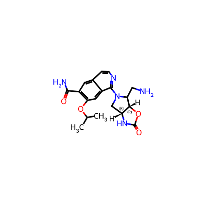 CC(C)Oc1cc2c(N3C[C@H]4NC(=O)O[C@H]4C3CN)nccc2cc1C(N)=O